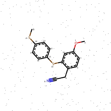 COc1ccc(CC#N)c(Sc2ccc(SC)cc2)c1